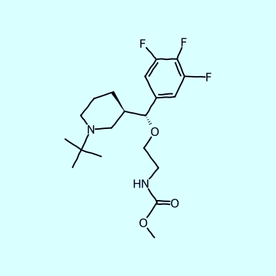 COC(=O)NCCO[C@@H](c1cc(F)c(F)c(F)c1)[C@@H]1CCCN(C(C)(C)C)C1